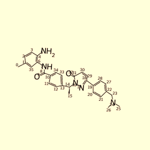 Cc1ccc(N)c(NC(=O)c2ccc([C@H](C)n3nc(-c4ccc(CN(C)C)cc4)ccc3=O)cc2)c1